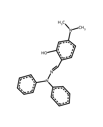 CN(C)c1ccc(C=NN(c2ccccc2)c2ccccc2)c(O)c1